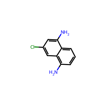 Nc1cc(Cl)cc2c(N)cccc12